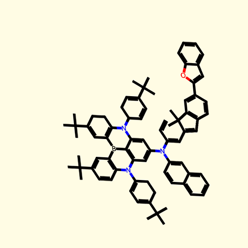 C=C/C(=C\C1=Cc2ccc(-c3cc4ccccc4o3)cc2C1(C)C)N(c1cc2c3c(c1)N(C1C=CC(C(C)(C)C)=CC1)C1=C(C=C(C(C)(C)C)CC1)B3c1cc(C(C)(C)C)ccc1N2C1=CC=C(C(C)(C)C)CC1)c1ccc2ccccc2c1